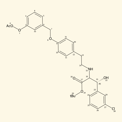 CC(=O)OOc1cccc(COc2ccc(CCNC(C(=O)OC(C)(C)C)[C@H](O)c3cccc(Cl)c3)cc2)c1